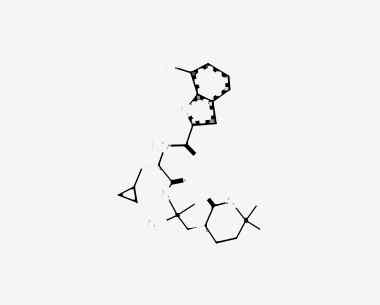 CC1(C)CC[C@@H](CC(C)(C#N)NC(=O)[C@H](CC2CC2)NC(=O)c2cc3cccc(Cl)c3[nH]2)C(=O)N1